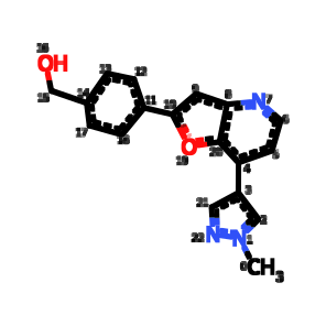 Cn1cc(-c2ccnc3cc(-c4ccc(CO)cc4)oc23)cn1